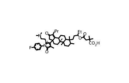 CCC(CCC1(C)C(C)CCC2(C)C1CCC1C3=C(C(C)C)C(=O)CC3(c3c(C)c(=O)n(-c4ccc(F)cc4)n3CCN(C)C)CC[C@]12C)OC(=O)CC(C)(C)C(=O)O